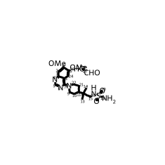 COc1cc2ncnc(N3CCC(C(C)(C)CNS(N)(=O)=O)CC3)c2cc1OC.O=CO